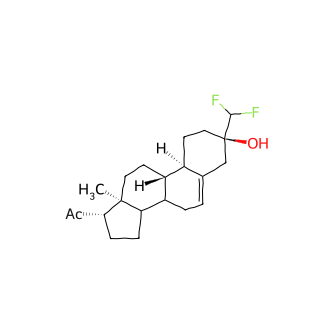 CC(=O)[C@H]1CCC2C3CC=C4C[C@@](O)(C(F)F)CC[C@@H]4[C@H]3CC[C@@]21C